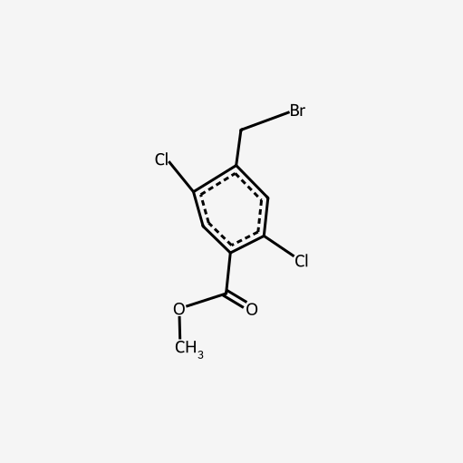 COC(=O)c1cc(Cl)c(CBr)cc1Cl